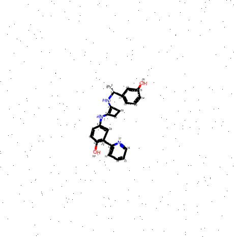 CC(C)[C@@H](NC1=C(Nc2ccc(O)c(-c3ccccn3)c2)CC1)c1cccc(O)c1